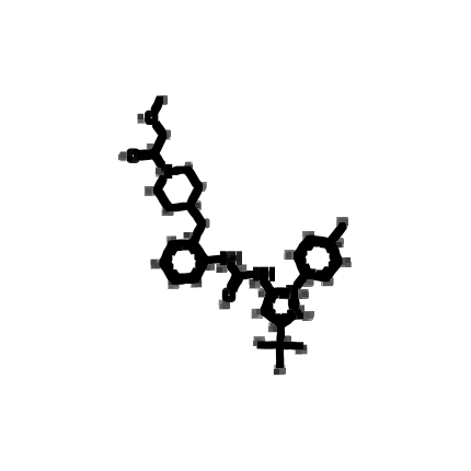 COCC(=O)N1CCC(Cc2ccccc2NC(=O)Nc2cc(C(C)(C)C)nn2-c2ccc(C)cc2)CC1